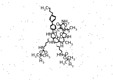 CCCCc1ccc(-c2ccc(C(=O)N[C@@H](CCCCNC(=O)OC(C)(C)C)C(=O)N[C@@H](CCCCNC(=O)OC(C)(C)C)C(=O)N[C@@H](C)C(=O)N[C@@H](CC(C)C)C(=O)N[C@@H](C)C(=O)C(N)=O)cc2)cc1